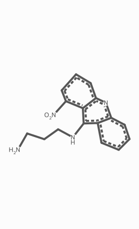 NCCCNc1c2ccccc2nc2cccc([N+](=O)[O-])c12